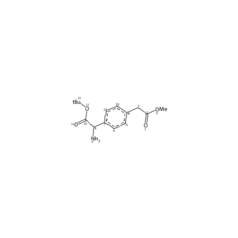 COC(=O)Cc1ccc(C(N)C(=O)OC(C)(C)C)cc1